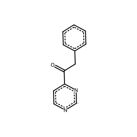 O=C(Cc1ccccc1)c1ccn[c]n1